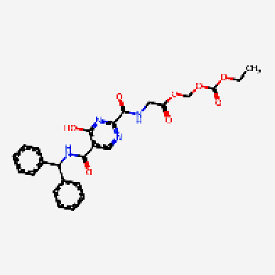 CCOC(=O)OCOC(=O)CNC(=O)c1ncc(C(=O)NC(c2ccccc2)c2ccccc2)c(O)n1